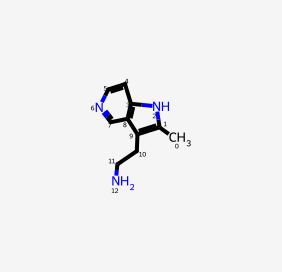 Cc1[nH]c2ccncc2c1CCN